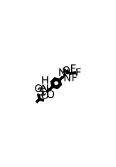 CC(C)CS(=O)(=O)NC(=O)c1ccc(-c2noc(C(F)(F)F)n2)cc1